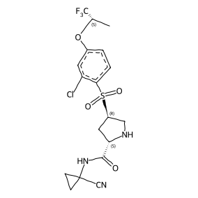 C[C@H](Oc1ccc(S(=O)(=O)[C@H]2CN[C@H](C(=O)NC3(C#N)CC3)C2)c(Cl)c1)C(F)(F)F